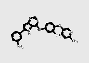 Cc1ccc(Oc2ccc(Nc3ncnc4cc(-c5cccc(N)c5)[nH]c34)cc2C)cn1